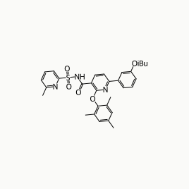 Cc1cc(C)c(Oc2nc(-c3cccc(OCC(C)C)c3)ccc2C(=O)NS(=O)(=O)c2cccc(C)n2)c(C)c1